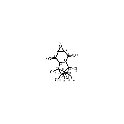 O=C1C2OC2C(=O)C2C1C1(Cl)C(Cl)=C(Cl)C2(Cl)C1(Cl)Cl